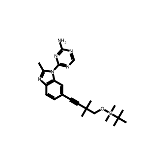 Cc1nc2ccc(C#CC(C)(C)CO[Si](C)(C)C(C)(C)C)cc2n1-c1ncnc(N)n1